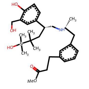 COC(=O)CCc1cccc(C[C@@H](C)NC[C@H](CC(C)(C)[Si](C)(C)O)c2ccc(O)c(CO)c2)c1